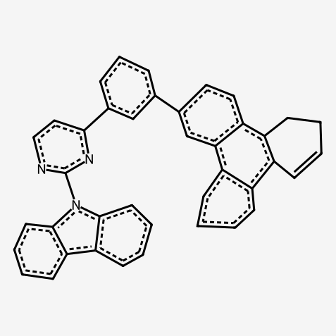 C1=Cc2c(c3ccc(-c4cccc(-c5ccnc(-n6c7ccccc7c7ccccc76)n5)c4)cc3c3ccccc23)CC1